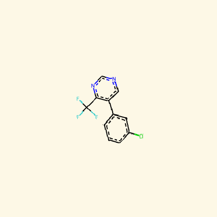 FC(F)(F)c1ncncc1-c1[c]ccc(Cl)c1